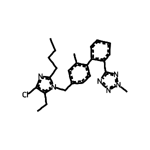 CCCCc1nc(Cl)c(CC)n1Cc1ccc(-c2ccccc2-c2nnn(C)n2)c(C)c1